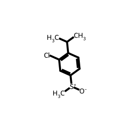 CC(C)c1ccc([S+](C)[O-])cc1Cl